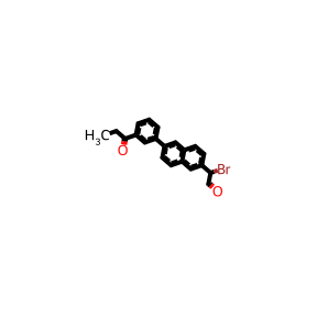 CCC(=O)c1cccc(-c2ccc3cc(C(Br)C=O)ccc3c2)c1